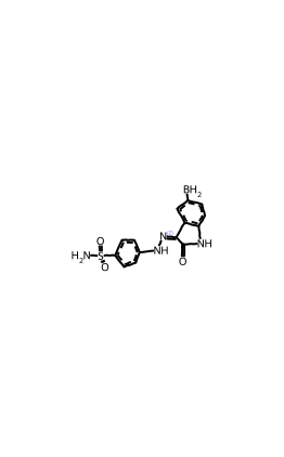 Bc1ccc2c(c1)/C(=N/Nc1ccc(S(N)(=O)=O)cc1)C(=O)N2